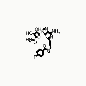 CNC(=O)[C@H]1O[C@@H](n2cnc3c(N)nc(C#CCN(C)C(=O)c4ccc(F)cc4)nc32)[C@H](O)C1O